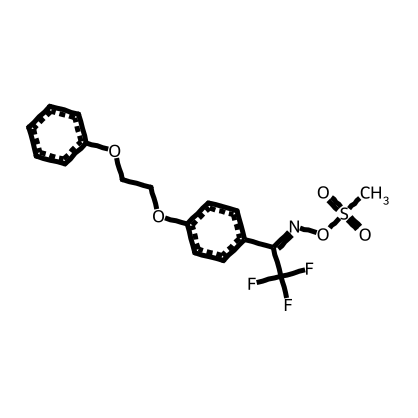 CS(=O)(=O)ON=C(c1ccc(OCCOc2ccccc2)cc1)C(F)(F)F